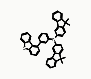 CC1(C)c2ccccc2-c2cc(N(c3cccc(-c4cccc5sc6ccccc6c45)c3)c3ccc4c(c3)-c3ccccc3C4(C)C)ccc21